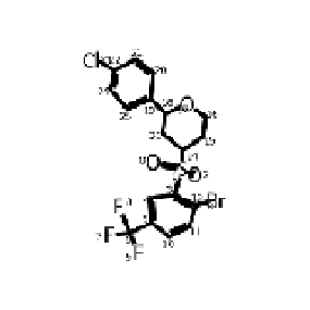 O=S(=O)(c1cc(C(F)(F)F)ccc1Br)C1CCOC(c2ccc(Cl)cc2)C1